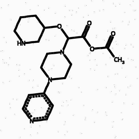 CC(=O)OC(=O)C(OC1CCCNC1)N1CCN(c2ccncc2)CC1